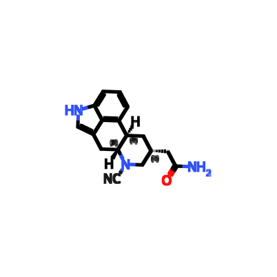 N#CN1C[C@@H](CC(N)=O)C[C@@H]2c3cccc4[nH]cc(c34)C[C@H]21